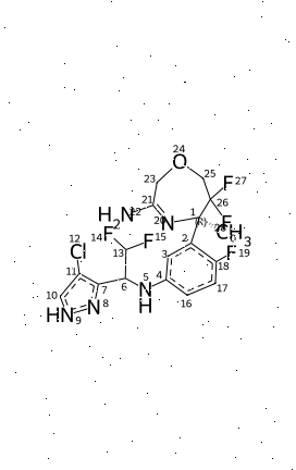 C[C@]1(c2cc(NC(c3n[nH]cc3Cl)C(F)F)ccc2F)N=C(N)COCC1(F)F